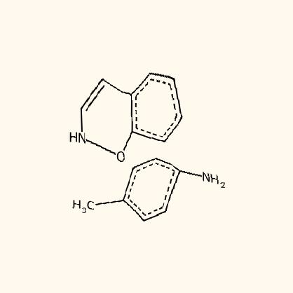 C1=Cc2ccccc2ON1.Cc1ccc(N)cc1